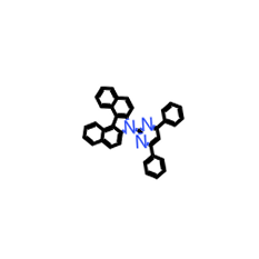 c1ccc(-c2cc(-c3ccccc3)nc(-n3c4ccc5ccccc5c4c4c5ccccc5ccc43)n2)cc1